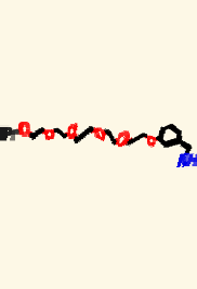 CCCOCCOCCOCCOCCOCCOc1cccc(CN)c1